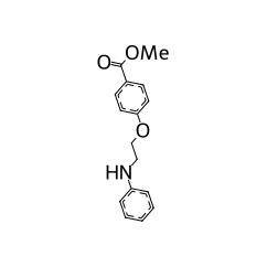 COC(=O)c1ccc(OCCNc2ccccc2)cc1